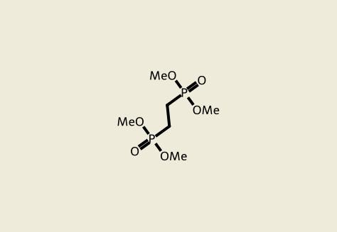 COP(=O)(CCP(=O)(OC)OC)OC